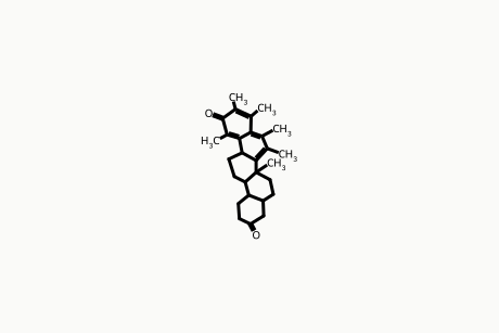 CC1=C(C)C2=C(C)C(C)=C3C(CCC4C5CCC(=O)CC5CCC34C)C2=C(C)C1=O